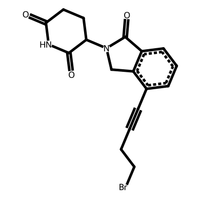 O=C1CCC(N2Cc3c(C#CCCBr)cccc3C2=O)C(=O)N1